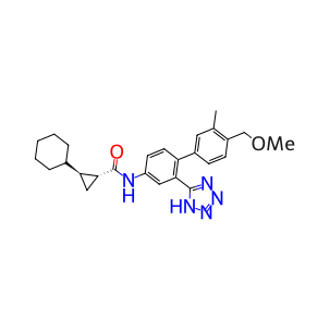 COCc1ccc(-c2ccc(NC(=O)[C@@H]3C[C@H]3C3CCCCC3)cc2-c2nnn[nH]2)cc1C